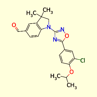 CC(C)Oc1ccc(-c2nc(N3CC(C)(C)c4cc(C=O)ccc43)no2)cc1Cl